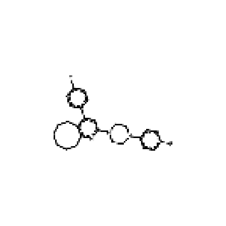 Fc1ccc(-c2cc(N3CCN(c4ccc(F)cc4)CC3)nc3c2CCCCCC3)cc1